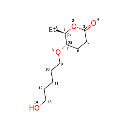 CC[C@H]1OC(=O)CC[C@@H]1OCCCCCO